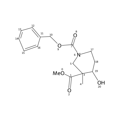 COC(=O)C1(C)CN(C(=O)OCc2ccccc2)CCC1O